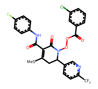 CSC1=C(C(=O)Nc2ccc(F)cc2)C(=O)N(OOC(=O)c2cccc(Cl)c2)C(c2ccc(C(F)(F)F)nc2)C1